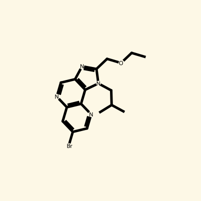 CCOCc1nc2cnc3cc(Br)cnc3c2n1CC(C)C